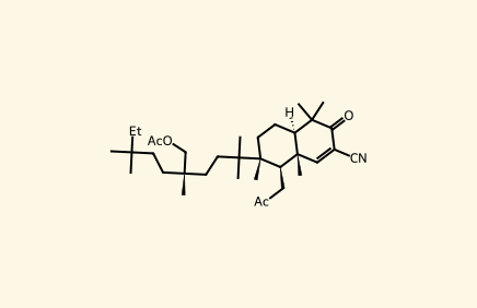 CCC(C)(C)CC[C@@](C)(CCC(C)(C)[C@]1(C)CC[C@H]2C(C)(C)C(=O)C(C#N)=C[C@]2(C)[C@H]1CC(C)=O)COC(C)=O